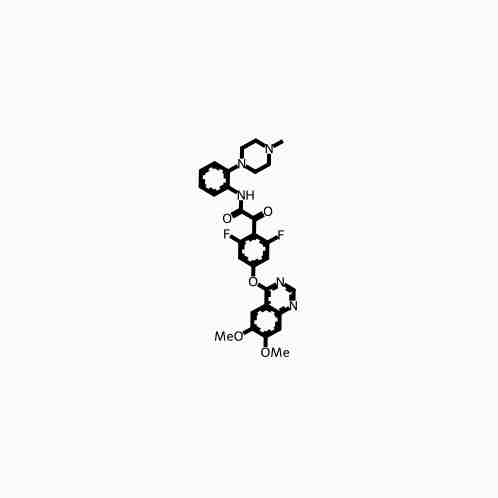 COc1cc2ncnc(Oc3cc(F)c(C(=O)C(=O)Nc4ccccc4N4CCN(C)CC4)c(F)c3)c2cc1OC